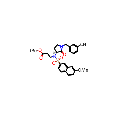 COc1ccc2ccc(S(=O)(=O)N(CCC(=O)OC(C)(C)C)[C@H]3CCN(Cc4cccc(C#N)c4)C3=O)cc2c1